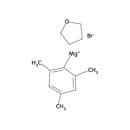 C1CCOC1.Cc1cc(C)[c]([Mg+])c(C)c1.[Br-]